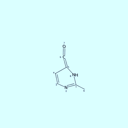 CC1=N[C]=CC(=C=O)N1